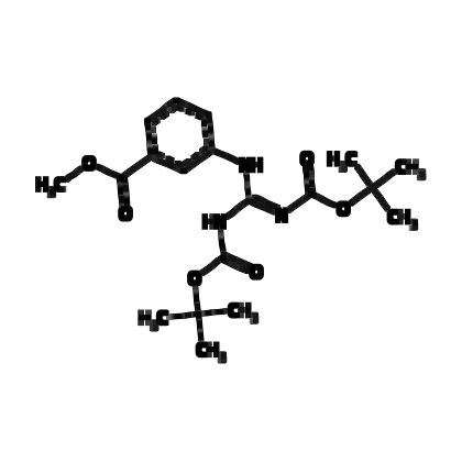 COC(=O)c1cccc(N/C(=N\C(=O)OC(C)(C)C)NC(=O)OC(C)(C)C)c1